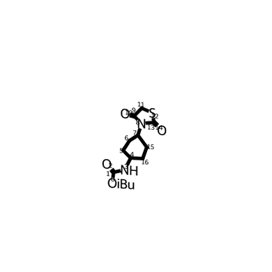 CC(C)COC(=O)NC1CCC(N2C(=O)CSC2=O)CC1